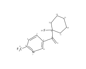 C=C(c1ccc(C(F)(F)F)nc1)C1(F)CCCCC1